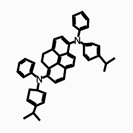 CC(C)C1=CCC(N(c2ccccc2)c2ccc3ccc4c(N(c5ccccc5)c5ccc(C(C)C)cc5)ccc5c4c3c2CC5)C=C1